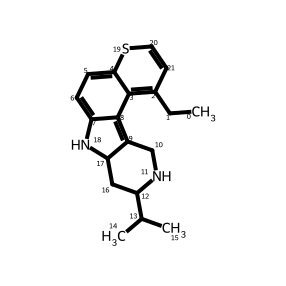 CCC1=c2c(ccc3c2=C2CNC(C(C)C)CC2N3)SC=C1